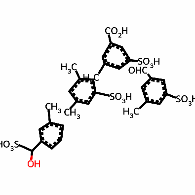 Cc1cc(C(=O)O)cc(S(=O)(=O)O)c1.Cc1cc(C)cc(S(=O)(=O)O)c1.Cc1cc(C=O)cc(S(=O)(=O)O)c1.Cc1cccc(C(O)S(=O)(=O)O)c1